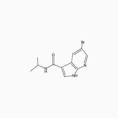 CC(C)NC(=O)c1c[nH]c2ncc(Br)cc12